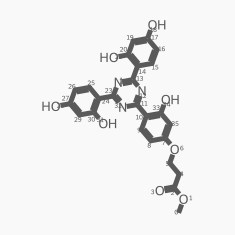 COC(=O)CCOc1ccc(-c2nc(-c3ccc(O)cc3O)nc(-c3ccc(O)cc3O)n2)c(O)c1